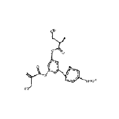 C=C(CO)C(=O)Oc1cc(OC(=O)C(C)CO)cc(-c2ccc(CCCCCCC)cc2)c1